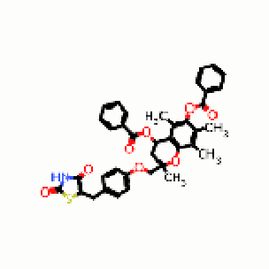 Cc1c(C)c2c(c(C)c1OC(=O)c1ccccc1)C(OC(=O)c1ccccc1)CC(C)(COc1ccc(CC3SC(=O)NC3=O)cc1)O2